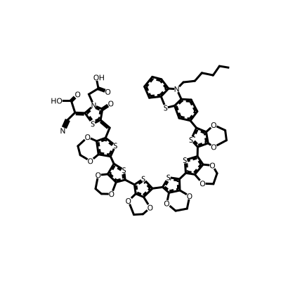 CCCCCCN1c2ccccc2Sc2cc(-c3sc(-c4sc(-c5sc(-c6sc(-c7sc(-c8sc(/C=c9\s/c(=C(\C#N)C(=O)O)n(CC(=O)O)c9=O)c9c8OCCO9)c8c7OCCO8)c7c6OCCO7)c6c5OCCO6)c5c4OCCO5)c4c3OCCO4)ccc21